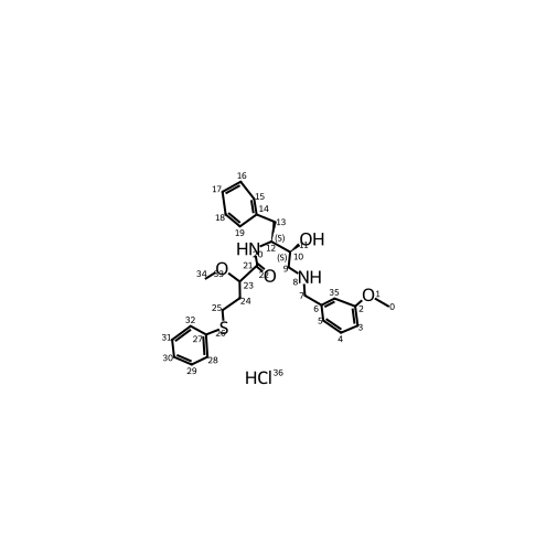 COc1cccc(CNC[C@H](O)[C@H](Cc2ccccc2)NC(=O)C(CCSc2ccccc2)OC)c1.Cl